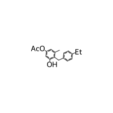 CCc1ccc(Cc2c(C)cc(OC(C)=O)cc2O)cc1